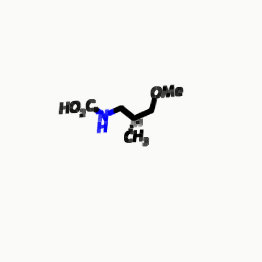 COC[C@H](C)CNC(=O)O